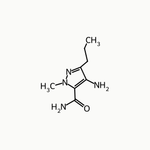 CCCc1nn(C)c(C(N)=O)c1N